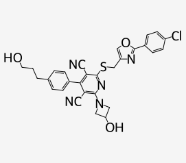 N#Cc1c(SCc2coc(-c3ccc(Cl)cc3)n2)nc(N2CC(O)C2)c(C#N)c1-c1ccc(CCCO)cc1